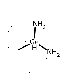 [CH3][GeH]([NH2])[NH2]